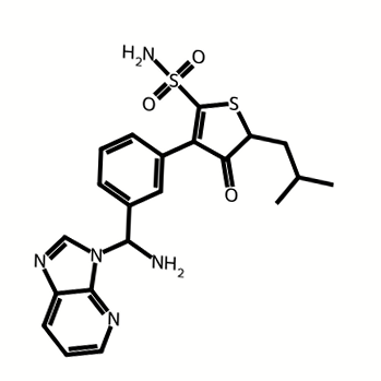 CC(C)CC1SC(S(N)(=O)=O)=C(c2cccc(C(N)n3cnc4cccnc43)c2)C1=O